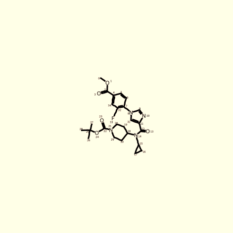 COC(=O)c1ccc(-n2cnc(C(=O)N(C3CC3)C3CCN(C(=O)OC(C)(C)C)CC3)c2)c(F)c1